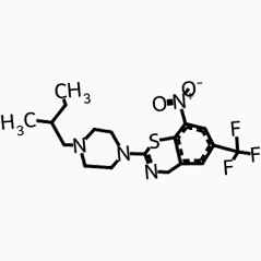 CCC(C)CN1CCN(C2=NCc3cc(C(F)(F)F)cc([N+](=O)[O-])c3S2)CC1